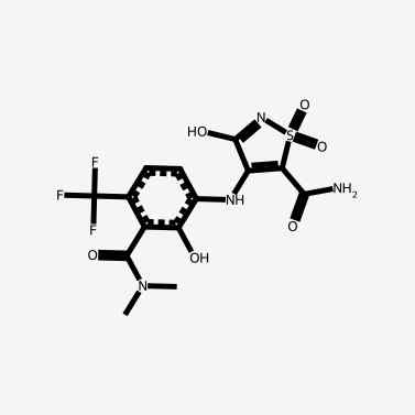 CN(C)C(=O)c1c(C(F)(F)F)ccc(NC2=C(C(N)=O)S(=O)(=O)N=C2O)c1O